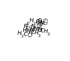 COC(=O)C12CC3CC(C1)C(Nc1ccc(Nc4ncc(C(F)(F)F)c(Nc5c(C)cccc5C)n4)c(OC)c1)C(C3)C2